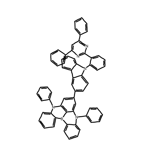 c1ccc(-c2cc(-c3ccccc3)nc(-c3ccccc3-n3c4ccccc4c4cc(-c5cc6c7c(c5)N(c5ccccc5)c5ccccc5B7c5ccccc5N6c5ccccc5)ccc43)n2)cc1